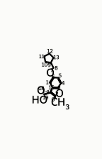 Cc1oc2ccc(OCC3CCCC3)cc2c1C(=O)O